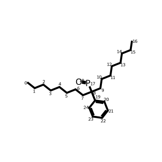 CCCCCCCCC(CCCCCCCC)(P=O)c1ccccc1